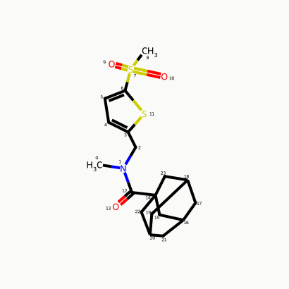 CN(Cc1ccc(S(C)(=O)=O)s1)C(=O)C12CC3CC(CC(C3)C1)C2